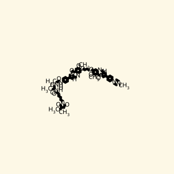 COc1cc2c(cc1OCCCOc1cc3c(cc1OC)C(=O)N1C=C(c4ccc(N5CCN(C)CC5)cc4)C[C@H]1C=N3)N=C[C@@H]1CC(c3ccc(NC(=O)[C@H](C)NC(=O)C(NC(=O)CCCCCN4C(=O)CC(C(C)C)C4=O)C(C)C)cc3)=CN1C2=O